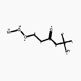 CCCC(C)(C)CC(=O)CCOOCC